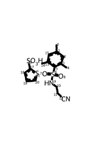 Cc1cc(C)c(S(=O)(=O)NCCC#N)c(C)c1.O=S(=O)(O)c1cccs1